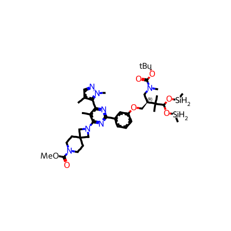 COC(=O)N1CCC2(CC1)CN(c1nc(-c3cccc(OC[C@@H](CN(C)C(=O)OC(C)(C)C)C(C)(C)C(O[SiH2]C)O[SiH2]C)c3)nc(-c3c(C)cnn3C)c1C)C2